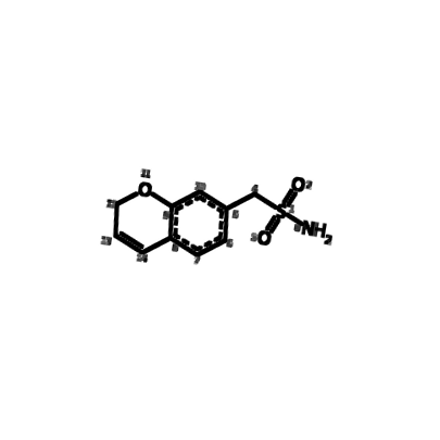 NS(=O)(=O)Cc1ccc2c(c1)OCC=C2